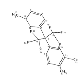 Cc1ccc(C(C2=CC=CC(C)C2)(C(F)(F)F)C(F)(F)F)cc1C